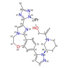 C=C(CO)N1CCC[C@@H](n2nccc2-c2ccc3c(c2)OCCn2cc(-c4nc(C)nn4C(C)C)nc2-3)C1